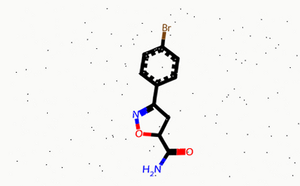 NC(=O)C1CC(c2ccc(Br)cc2)=NO1